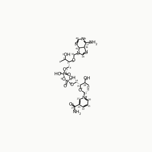 CC(O)[C@@H](COP(=O)(O)OP(=O)(O)OC[C@@H](O[C@H](C)[n+]1cccc(C(N)=O)c1)C(C)O)OCN1C=NC2C(N)=NC=NC21